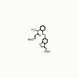 CON=CC(=O)N(C)c1ccccc1COc1ccc2c(c1)OCC2=NOC